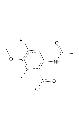 COc1c(Br)cc(NC(C)=O)c([N+](=O)[O-])c1C